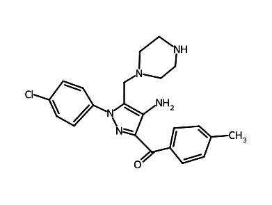 Cc1ccc(C(=O)c2nn(-c3ccc(Cl)cc3)c(CN3CCNCC3)c2N)cc1